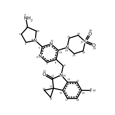 NC1CCN(c2ncc(CN3C(=O)C4(CC4)c4ccc(F)cc43)c(N3CCS(=O)(=O)CC3)n2)C1